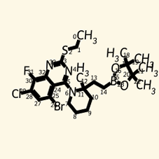 CCSc1nc(N2CCCCC2(C)CCB2OC(C)(C)C(C)(C)O2)c2c(Br)cc(Cl)c(F)c2n1